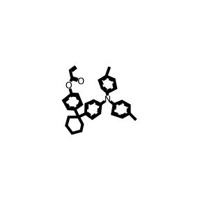 C=CC(=O)Oc1ccc(C2(c3ccc(N(c4ccc(C)cc4)c4ccc(C)cc4)cc3)CCCCC2)cc1